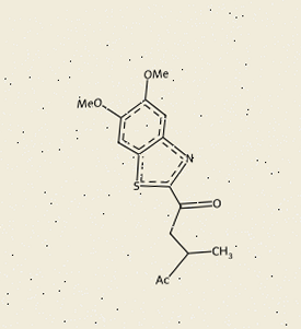 COc1cc2nc(C(=O)CC(C)C(C)=O)sc2cc1OC